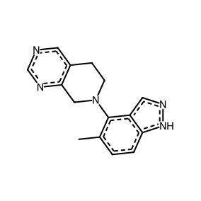 Cc1ccc2[nH]ncc2c1N1CCc2cncnc2C1